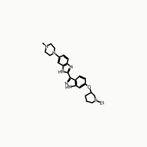 CCN1CCCC(Oc2ccc3c(-c4nc5ccc(N6CCN(C)CC6)cc5[nH]4)n[nH]c3c2)C1